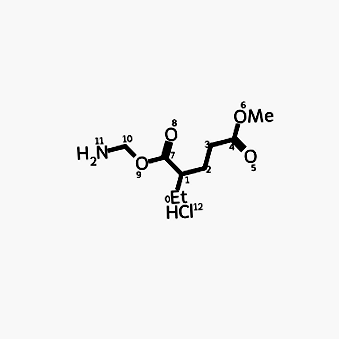 CCC(CCC(=O)OC)C(=O)OCN.Cl